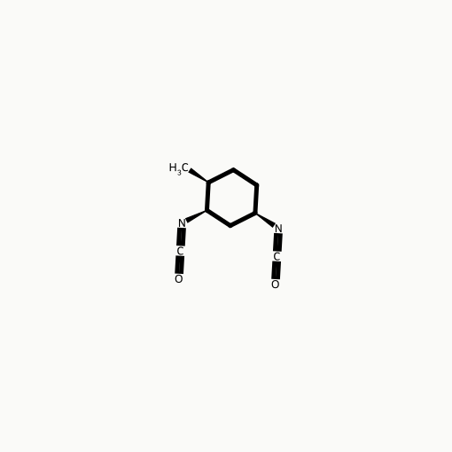 C[C@H]1CC[C@@H](N=C=O)C[C@H]1N=C=O